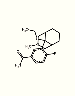 CCOC1(c2cc(C(N)=O)ccc2F)C2CCCC1CN(C)C2